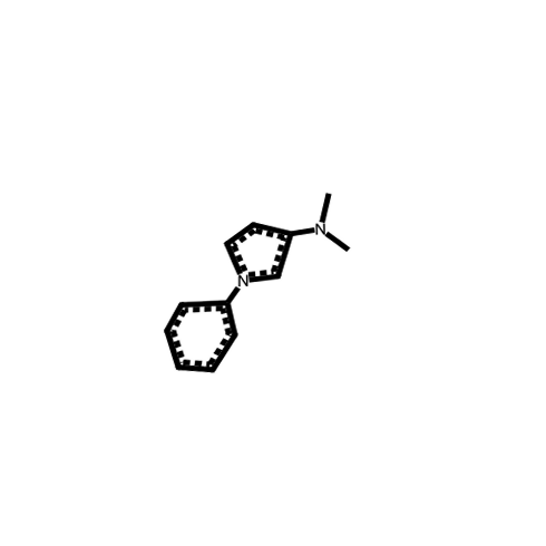 CN(C)c1ccn(-c2ccccc2)c1